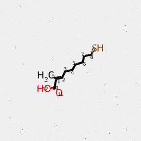 C/C(=C\CCCCCCS)C(=O)O